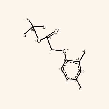 Cc1ccc(OCC(=O)OC(C)(C)C)c(C)c1